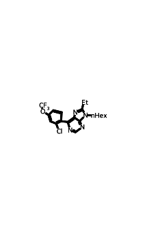 CCCCCCn1c(CC)nc2c(-c3ccc(OC(F)(F)F)cc3Cl)ncnc21